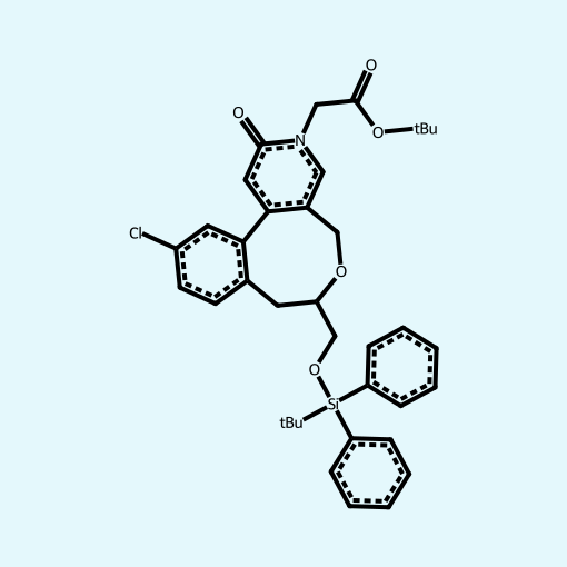 CC(C)(C)OC(=O)Cn1cc2c(cc1=O)-c1cc(Cl)ccc1CC(CO[Si](c1ccccc1)(c1ccccc1)C(C)(C)C)OC2